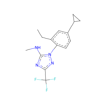 CCc1cc(C2CC2)ccc1-n1nc(C(F)(F)F)nc1NC